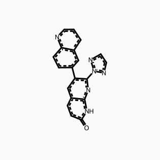 O=c1ccc2cc(-c3ccc4ncccc4c3)c(-n3nccn3)nc2[nH]1